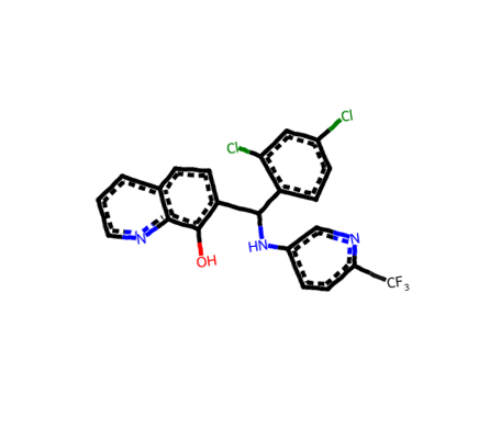 Oc1c(C(Nc2ccc(C(F)(F)F)nc2)c2ccc(Cl)cc2Cl)ccc2cccnc12